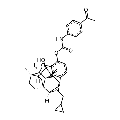 CC(=O)c1ccc(NC(=O)Oc2ccc3c4c2O[C@H]2[C@]5(C)CC[C@@]6(C[C@@H]5C(C)(O)C(C)(C)C)[C@@H](C3)N(CC3CC3)CC[C@]426)cc1